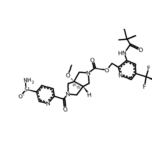 CO[C@]12CN(C(=O)OCc3ncc(C(F)(F)F)cc3NC(=O)C(C)(C)C)C[C@@H]1CN(C(=O)c1ccc([S+](N)[O-])cn1)C2